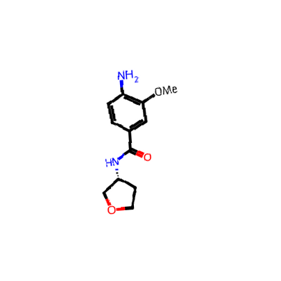 COc1cc(C(=O)N[C@@H]2CCOC2)ccc1N